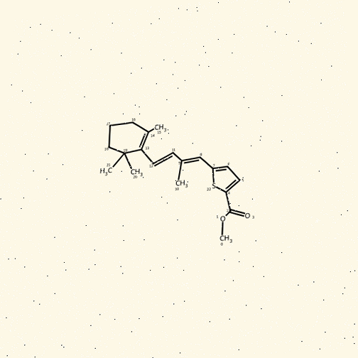 COC(=O)c1ccc(/C=C(C)/C=C/C2=C(C)CCCC2(C)C)s1